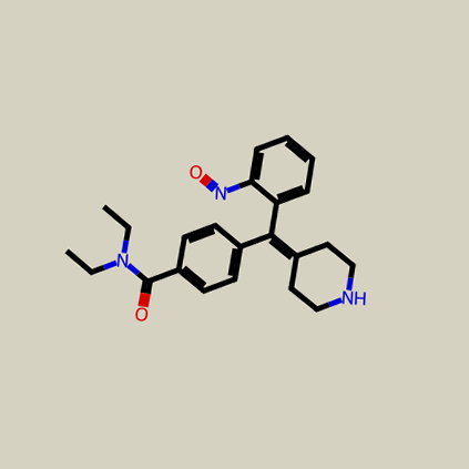 CCN(CC)C(=O)c1ccc(C(=C2CCNCC2)c2ccccc2N=O)cc1